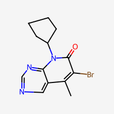 Cc1c(Br)c(=O)n(C2CCCC2)c2ncncc12